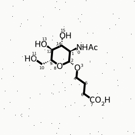 CC(=O)N[C@H]1[C@H](OCCCC(=O)O)O[C@H](CO)[C@@H](O)[C@@H]1O